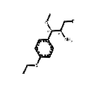 CCSc1ccc([C@@H](OC)[C@H](N)CF)cc1